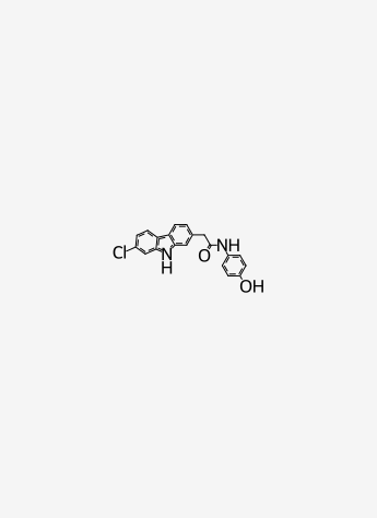 O=C(Cc1ccc2c(c1)[nH]c1cc(Cl)ccc12)Nc1ccc(O)cc1